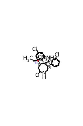 C/C=C(\C)[C@@H]1CC(=O)NC[C@H](c2cccc(Cl)c2)[C@@]12C(=O)Nc1cc(Cl)ccc12